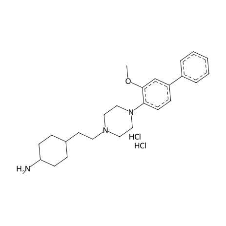 COc1cc(-c2ccccc2)ccc1N1CCN(CCC2CCC(N)CC2)CC1.Cl.Cl